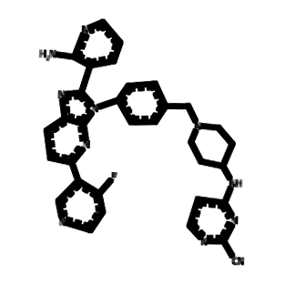 N#Cc1nccc(NC2CCN(Cc3ccc(-n4c(-c5cccnc5N)nc5ccc(-c6cnccc6F)nc54)cc3)CC2)n1